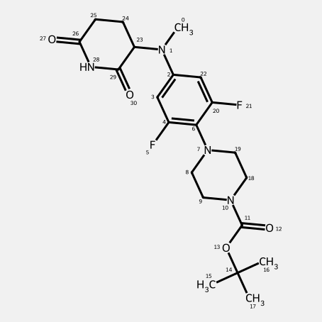 CN(c1cc(F)c(N2CCN(C(=O)OC(C)(C)C)CC2)c(F)c1)C1CCC(=O)NC1=O